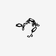 c1ccc(-c2cccc(-c3ccc(-c4nc(-n5c6ccccc6c6cc(-c7ccc8c(c7)c7ccccc7n8-c7ccccc7)ccc65)nc5ccccc45)cc3)c2)cc1